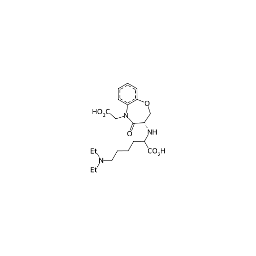 CCN(CC)CCCCC(N[C@H]1COc2ccccc2N(CC(=O)O)C1=O)C(=O)O